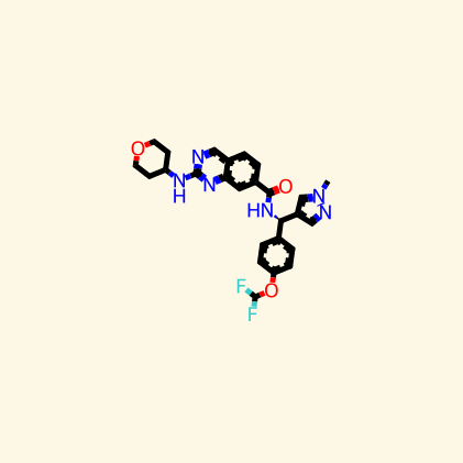 Cn1cc([C@@H](NC(=O)c2ccc3cnc(NC4CCOCC4)nc3c2)c2ccc(OC(F)F)cc2)cn1